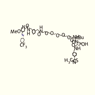 COc1cnc(C(=O)NCc2cccc(CC(=O)NCCOCCOCCOCCOCCOCC(=O)N[C@H](C(=O)N3C[C@H](O)CC3C(=O)NCc3ccc(-c4scnc4C)cc3)C(C)(C)C)c2)cc1/C=C/[C@H]1CC[C@H](C(F)(F)F)CC1